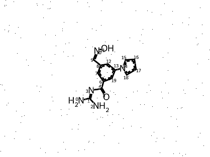 NC(N)=NC(=O)c1cc(/C=N\O)cc(-n2cccc2)c1